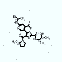 CC[C@H](Nc1cc(C(F)F)c(-c2sc(C(=O)N[C@H](C)[C@@H](C)O)nc2C(=O)N2CCC[C@@H]2C)cn1)C(F)(F)F